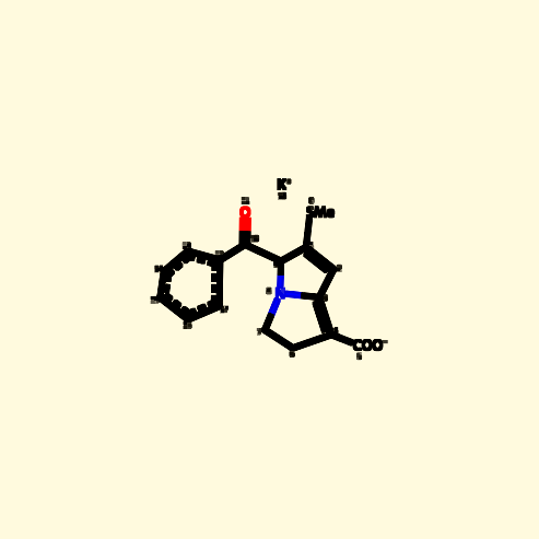 CSC1=CC2=C(C(=O)[O-])CCN2C1C(=O)c1ccccc1.[K+]